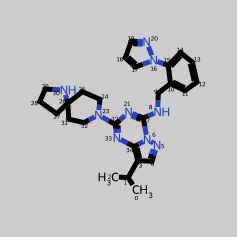 CC(C)c1cnn2c(NCc3ccccc3-n3cccn3)nc(N3CCC4(CCCN4)CC3)nc12